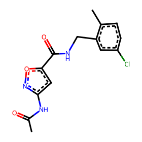 CC(=O)Nc1cc(C(=O)NCc2cc(Cl)ccc2C)on1